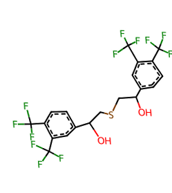 OC(CSCC(O)c1ccc(C(F)(F)F)c(C(F)(F)F)c1)c1ccc(C(F)(F)F)c(C(F)(F)F)c1